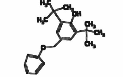 CC(C)(C)c1cc(COc2ccccc2)cc(C(C)(C)C)c1O